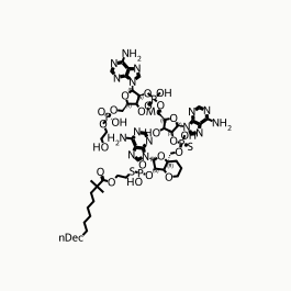 CCCCCCCCCCCCCCCCC(C)(C)C(=O)OCCSP(=O)(O)O[C@H]1C2OCCC[C@]2(COP(O)(=S)O[C@H]2C(O)[C@@H](COP(=O)(O)O[C@H]3C(OC)[C@@H](COP(=O)(O)OCCO)O[C@H]3n3cnc4c(N)ncnc43)O[C@H]2n2cnc3c(N)ncnc32)O[C@H]1n1cnc2c(N)ncnc21